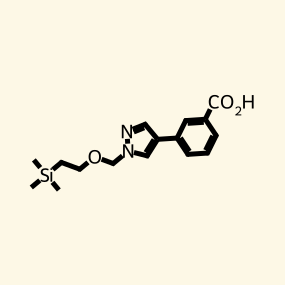 C[Si](C)(C)CCOCn1cc(-c2cccc(C(=O)O)c2)cn1